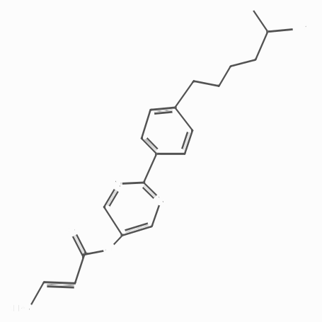 CCCCCCC=CC(=O)Oc1cnc(-c2ccc(CCCCC(C)OC(C)=O)cc2)nc1